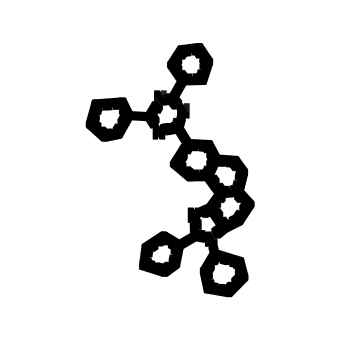 c1ccc(-c2nc(-c3ccccc3)nc(-c3ccc4c(ccc5ccc6c(nc(-c7ccccc7)n6-c6ccccc6)c54)c3)n2)cc1